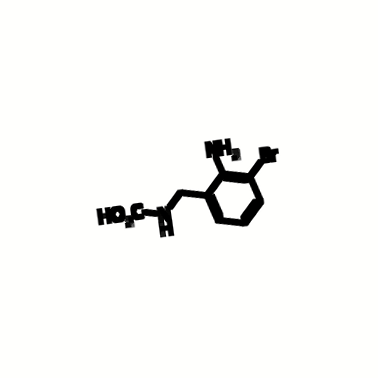 Nc1c(Br)cccc1CNC(=O)O